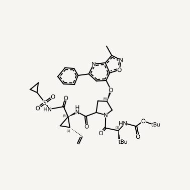 C=C[C@@H]1C[C@]1(NC(=O)C1C[C@@H](Oc2cc(-c3ccccc3)nc3c(C)noc23)CN1C(=O)[C@@H](NC(=O)OC(C)(C)C)C(C)(C)C)C(=O)NS(=O)(=O)C1CC1